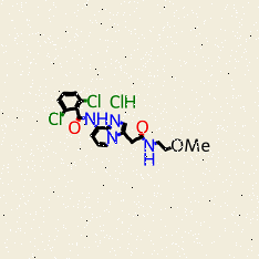 COCCNC(=O)Cc1cnc2c(NC(=O)c3c(Cl)cccc3Cl)cccn12.Cl